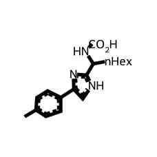 CCCCCCC(NC(=O)O)c1nc(-c2ccc(C)cc2)c[nH]1